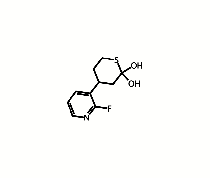 OC1(O)CC(c2cccnc2F)CCS1